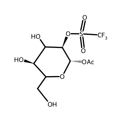 CC(=O)O[C@@H]1OC(CO)[C@@H](O)C(O)[C@H]1OS(=O)(=O)C(F)(F)F